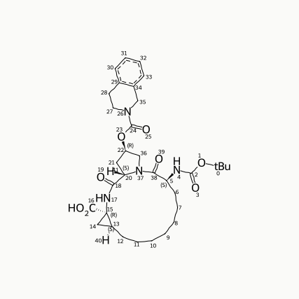 CC(C)(C)OC(=O)N[C@H]1CCCCCCC[C@H]2C[C@@]2(C(=O)O)NC(=O)[C@@H]2C[C@@H](OC(=O)N3CCc4ccccc4C3)CN2C1=O